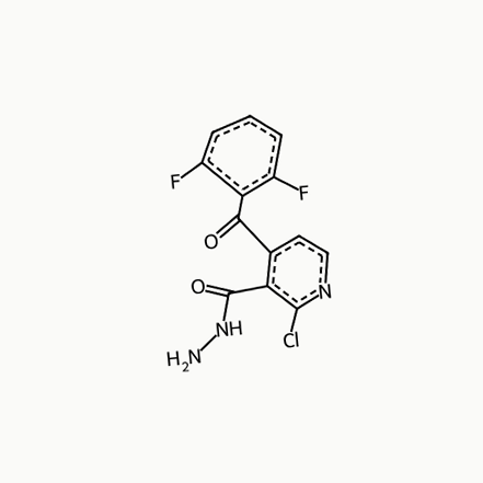 NNC(=O)c1c(C(=O)c2c(F)cccc2F)ccnc1Cl